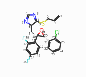 C=CCSC1=NC=NC1C[C@]1(c2ccc(F)cc2F)O[C@@H]1c1ccccc1Cl